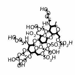 C[C@H]1OC(COS(=O)(=O)O)[C@@H](O[C@@H]2OC(C(=O)O)[C@@H](O[C@H]3OC(COS(=O)(=O)O)[C@@H](OSOOO)[C@H](OSOOO)C3NSOOO)[C@@H](OSOOO)C2OS(=O)(=O)O)[C@@H](OSOOO)C1NSOOO